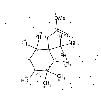 [2H]C([2H])(N)C1(CC(=O)OC)C(C)C(C)(C)C(C)CC1([2H])[2H]